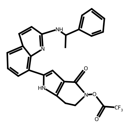 CC(Nc1ccc2cccc(-c3cc4c([nH]3)CCN(OC(=O)C(F)(F)F)C4=O)c2n1)c1ccccc1